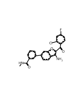 CNC(=O)c1cccc(-c2ccc3c(N)c(C(=O)c4ccc(F)cc4Cl)oc3c2)c1